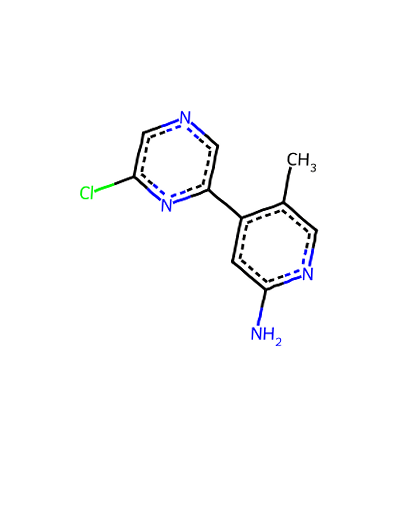 Cc1cnc(N)cc1-c1cncc(Cl)n1